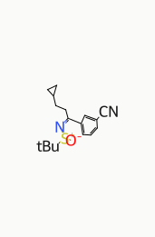 CC(C)(C)[S+]([O-])/N=C(/CCC1CC1)c1cccc(C#N)c1